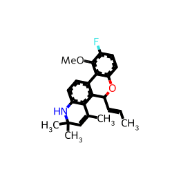 CC=CC1Oc2ccc(F)c(OC)c2-c2ccc3c(c21)C(C)=CC(C)(C)N3